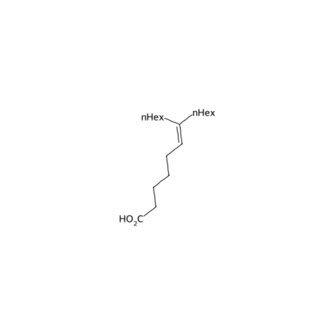 CCCCCCC(=CCCCCC(=O)O)CCCCCC